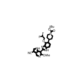 COc1ncc2c(C#N)c[nH]c2c1-c1nc2c(OCC(F)F)c(C3CCN(C(=O)OC(C)(C)C)CC3)ccc2[nH]1